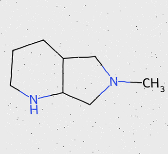 CN1CC2CCCNC2C1